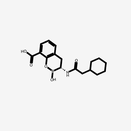 O=C(CC1CCCCC1)N[C@H]1Cc2cccc(C(=O)O)c2OB1O